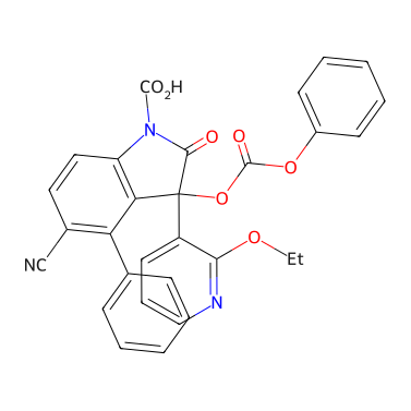 CCOc1ncccc1C1(OC(=O)Oc2ccccc2)C(=O)N(C(=O)O)c2ccc(C#N)c(-c3ccccc3)c21